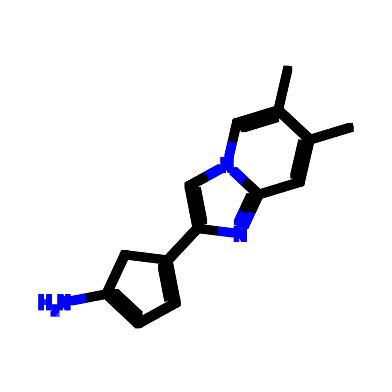 Cc1cc2nc(C3=CC=C(N)C3)cn2cc1C